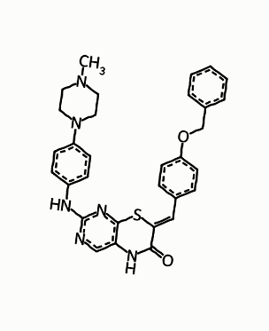 CN1CCN(c2ccc(Nc3ncc4c(n3)SC(=Cc3ccc(OCc5ccccc5)cc3)C(=O)N4)cc2)CC1